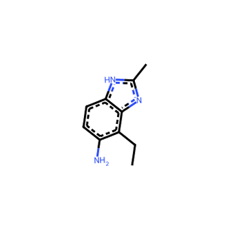 CCc1c(N)ccc2[nH]c(C)nc12